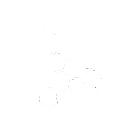 CN(C(=O)OC(C)(C)C)C(=O)c1c(-c2ccc(F)cc2)nn2c(F)cc(Cl)cc12